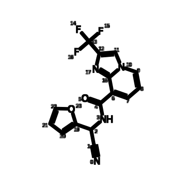 N#CC(NC(=O)c1cccn2cc(C(F)(F)F)nc12)c1ccco1